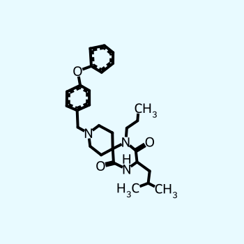 CCCN1C(=O)C(CC(C)C)NC(=O)C12CCN(Cc1ccc(Oc3ccccc3)cc1)CC2